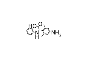 Cc1cc(N)cc(C)c1C(Nc1ccccc1)C(=O)O